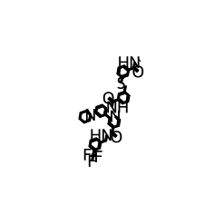 CNC(=O)c1cccc(SCc2cccc(C(=O)Nc3ccc(N4CCCCC4)cc3-c3cc(C(=O)NCc4cccc(C(F)(F)F)c4)ccn3)c2)c1